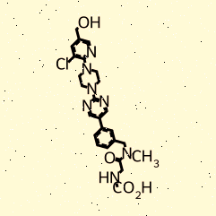 CN(Cc1cccc(-c2cnc(N3CCN(c4ncc(CO)cc4Cl)CC3)nc2)c1)C(=O)CNC(=O)O